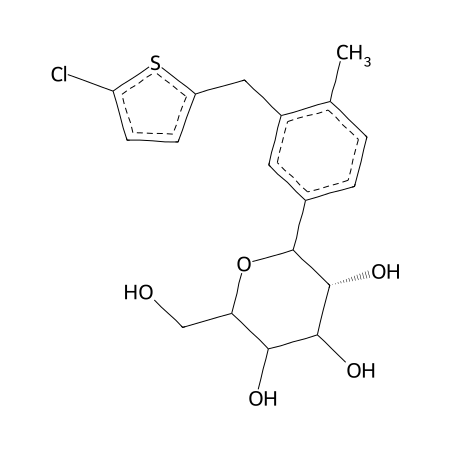 Cc1ccc(C2OC(CO)C(O)C(O)[C@H]2O)cc1Cc1ccc(Cl)s1